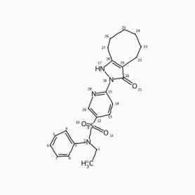 CCN(c1ccccc1)S(=O)(=O)c1ccc(-n2[nH]c3c(c2=O)CCCCCC3)nc1